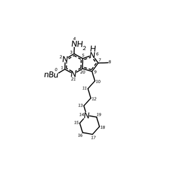 CCCCc1nc(N)c2[nH]c(C)c(CCCCN3CCCCC3)c2n1